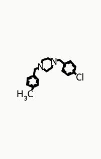 Cc1ccc(CN2CCN(Cc3ccc(Cl)cc3)CC2)cc1